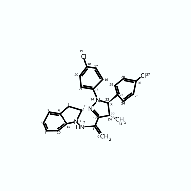 C=C(NN1CCc2ccccc21)C1=NN(c2ccc(Cl)cc2)[C@@H](c2ccc(Cl)cc2)[C@@H]1C